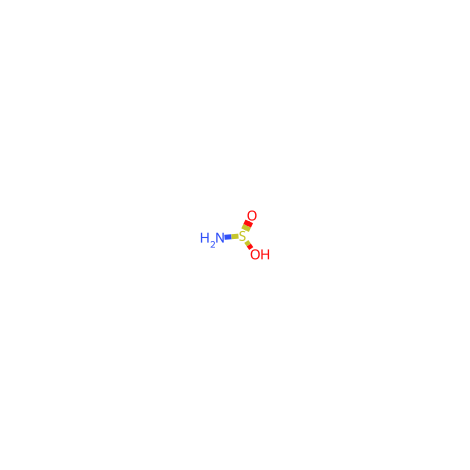 NS(=O)O